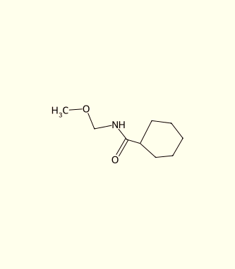 COCNC(=O)C1CCCCC1